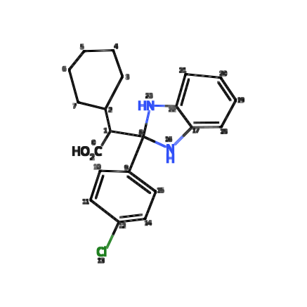 O=C(O)C(C1CCCCC1)C1(c2ccc(Cl)cc2)Nc2ccccc2N1